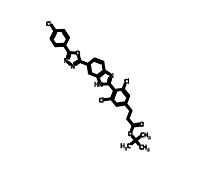 CC(C)(C)OC(=O)CCc1cc(Cl)c(-c2nc3ccc(-c4nnc(-c5ccc(Cl)cc5)o4)cc3[nH]2)c(Cl)c1